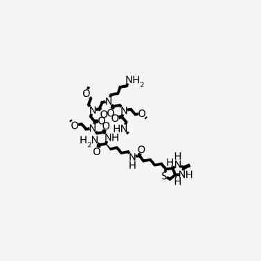 C=C1N[C@H]2CSC(CCCCC(=O)NCCCC[C@H](NC(=O)CN(CCOC)C(=O)CN(CCOC)C(=O)CN(CCCCN)C(=O)CN(CCOC)C(=O)CNC)C(N)=O)[C@H]2N1